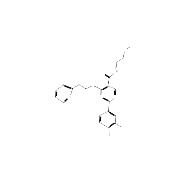 COCCNC(=O)c1cnc(-c2ccc(F)c(F)c2)nc1NCCc1ccccn1